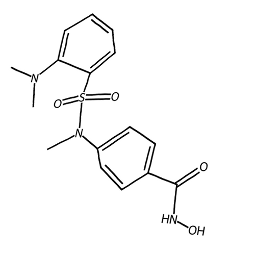 CN(C)c1ccccc1S(=O)(=O)N(C)c1ccc(C(=O)NO)cc1